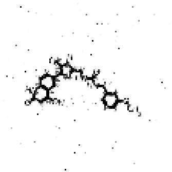 COc1cccc(CNC(=O)NCc2nc(-c3ccc4[nH]c(=O)cc(O)c4c3)c(Cl)[nH]2)c1